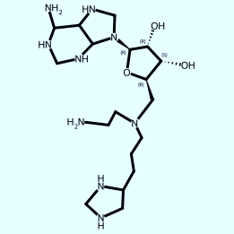 NCCN(CCCC1CNCN1)C[C@H]1O[C@@H](N2CNC3C(N)NCNC32)[C@H](O)[C@@H]1O